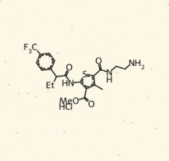 CCC(C(=O)Nc1sc(C(=O)NCCN)c(C)c1C(=O)OC)c1ccc(C(F)(F)F)cc1.Cl